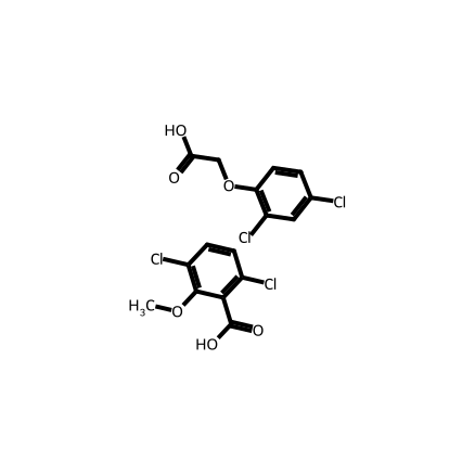 COc1c(Cl)ccc(Cl)c1C(=O)O.O=C(O)COc1ccc(Cl)cc1Cl